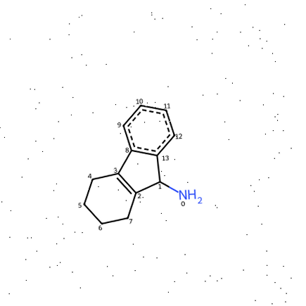 NC1C2=C(CCCC2)c2ccccc21